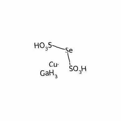 O=S(=O)(O)[Se]S(=O)(=O)O.[Cu].[GaH3]